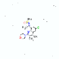 C/C(=N\[S@+]([O-])C(C)(C)C)c1cc(Cl)cc2c(C#N)c(C)c(N3CCOCC3)nc12